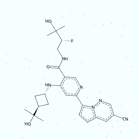 CC(C)(O)[C@H](F)CNC(=O)c1cnc(-c2ccc3cc(C#N)cnn23)cc1N[C@H]1C[C@H](C(C)(C)O)C1